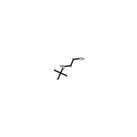 CC(C)(C)N[CH]CO